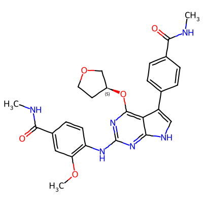 CNC(=O)c1ccc(-c2c[nH]c3nc(Nc4ccc(C(=O)NC)cc4OC)nc(O[C@H]4CCOC4)c23)cc1